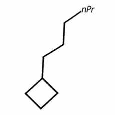 C[CH]CCCCC1CCC1